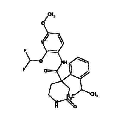 COc1ccc(NC(=O)C2(c3ccccc3C(C)C)CCNC(=O)C2)c(OC(F)F)n1